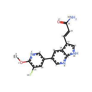 CCOc1ncc(-c2cnc3[nH]cc(/C=C/C(N)=O)c3c2)cc1F